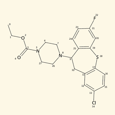 CCOC(=O)N1CCN(C2Cc3cc(Cl)ccc3Sc3cc(F)ccc32)CC1